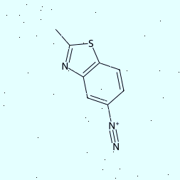 Cc1nc2cc([N+]#N)ccc2s1